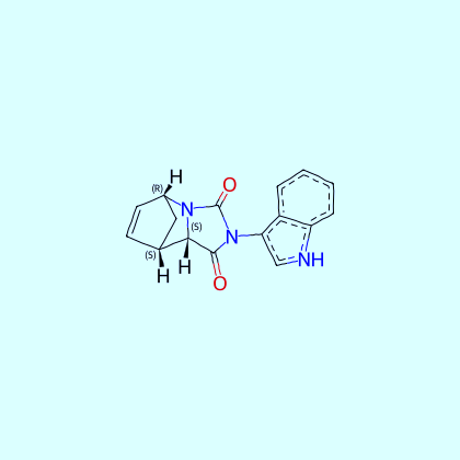 O=C1[C@@H]2[C@@H]3C=C[C@@H](C3)N2C(=O)N1c1c[nH]c2ccccc12